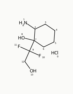 Cl.NC1CCCCC1(O)C(F)(F)CO